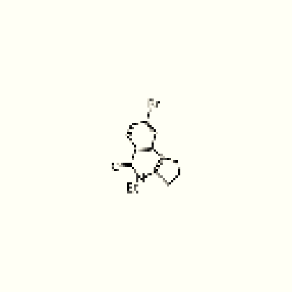 CCn1c2c(c3cc(Br)ccc3c1=O)CCC2